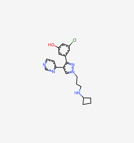 Oc1cc(Cl)cc(-c2nn(CCCNC3CCC3)cc2-c2ccncn2)c1